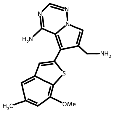 COc1cc(C)cc2cc(-c3c(CN)cn4ncnc(N)c34)sc12